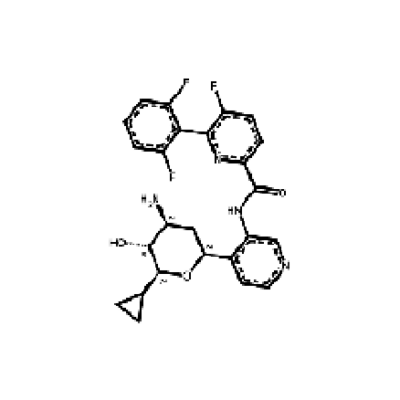 N[C@H]1C[C@@H](c2ccncc2NC(=O)c2ccc(F)c(-c3c(F)cccc3F)n2)O[C@@H](C2CC2)[C@@H]1O